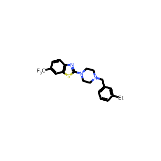 CCc1cccc(CN2CCN(c3nc4ccc(C(F)(F)F)cc4s3)CC2)c1